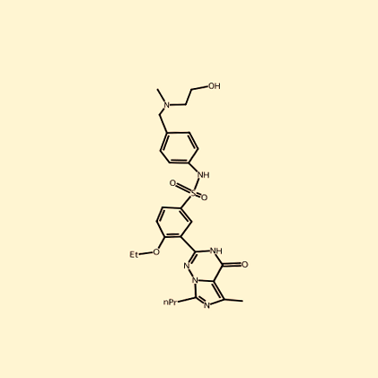 CCCc1nc(C)c2c(=O)[nH]c(-c3cc(S(=O)(=O)Nc4ccc(CN(C)CCO)cc4)ccc3OCC)nn12